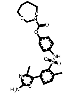 Cc1ccc(-c2sc(N)nc2C)cc1S(=O)(=O)Nc1ccc(OC(=O)N2CCCCCCC2)cc1